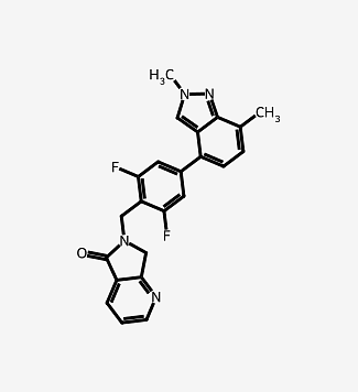 Cc1ccc(-c2cc(F)c(CN3Cc4ncccc4C3=O)c(F)c2)c2cn(C)nc12